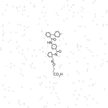 Cc1ccc(-c2ccccc2C(=O)Nc2ccc(C(=O)N(C)c3ccccc3/C=N/OCCCC(=O)O)cc2)cc1